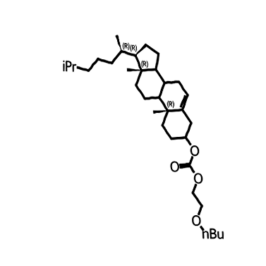 CCCCOCCOC(=O)OC1CC[C@@]2(C)C(=CCC3C2CC[C@@]2(C)C3CC[C@@H]2[C@H](C)CCCC(C)C)C1